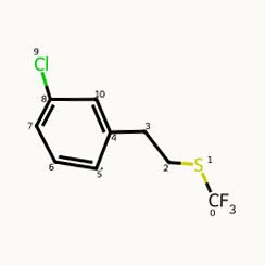 FC(F)(F)SCCc1[c]ccc(Cl)c1